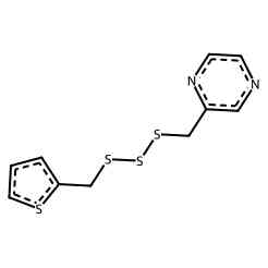 c1csc(CSSSCc2cnccn2)c1